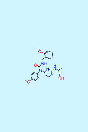 COc1ccc(N(C(=O)NCc2ccccc2OC)c2ccnc(NC(C)C(C)(C)O)n2)cc1